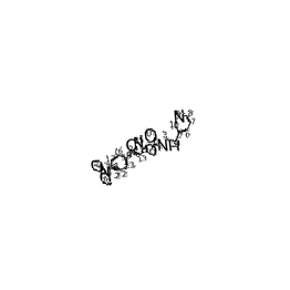 O=C(NCCc1cccnc1)Oc1cc(-c2ccc([N+](=O)[O-])cc2)on1